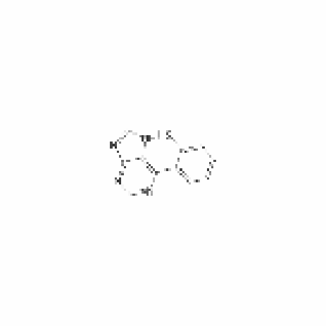 Sc1ccccc1-c1ncnc2nc[nH]c12